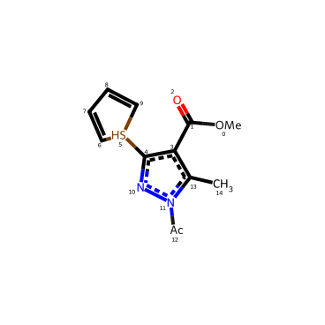 COC(=O)c1c([SH]2C=CC=C2)nn(C(C)=O)c1C